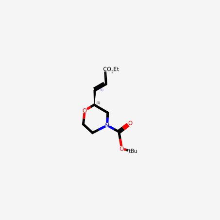 CCOC(=O)/C=C/[C@H]1CN(C(=O)OC(C)(C)C)CCO1